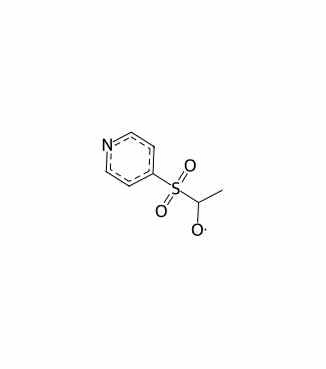 CC([O])S(=O)(=O)c1ccncc1